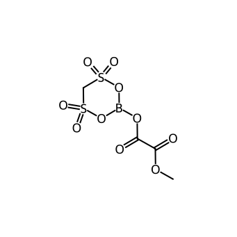 COC(=O)C(=O)OB1OS(=O)(=O)CS(=O)(=O)O1